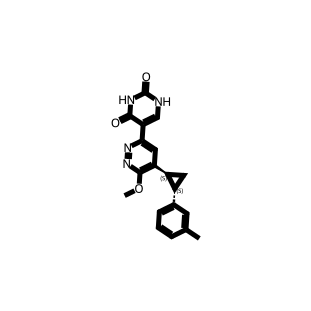 COc1nnc(-c2c[nH]c(=O)[nH]c2=O)cc1[C@H]1C[C@@H]1c1cccc(C)c1